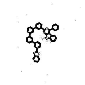 C[Si]1(C)c2ccccc2-c2c(-c3ccccc3)nc(-c3cccc(-c4cccc(-c5cccc(-c6cccc(-c7nc8ccccc8o7)c6)c5)c4)c3)nc21